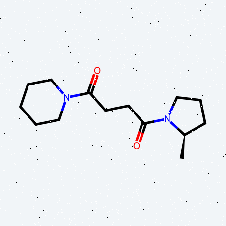 C[C@@H]1CCCN1C(=O)CCC(=O)N1CCCCC1